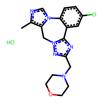 Cc1ncn2c1Cn1nc(CN3CCOCC3)nc1-c1cc(Cl)ccc1-2.Cl